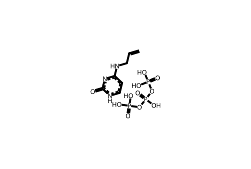 C=CCNc1cc[nH]c(=O)n1.O=P(O)(O)OP(=O)(O)OP(=O)(O)O